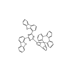 c1ccc2c(c1)-c1ccccc1C1(c3ccccc3-2)c2ccccc2-c2ccc(-c3nc(-c4cccc5c4oc4ccccc45)nc(-c4cccc5c4oc4ccccc45)n3)cc21